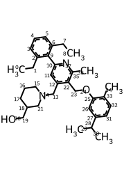 CCc1cccc(CC)c1-c1cc(CN2CCCC(CO)C2)c(COc2cc(C(C)C)ccc2C)c(C)n1